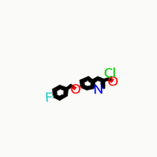 O=C(Cl)c1cnc2cc(OCc3ccc(F)cc3)ccc2c1